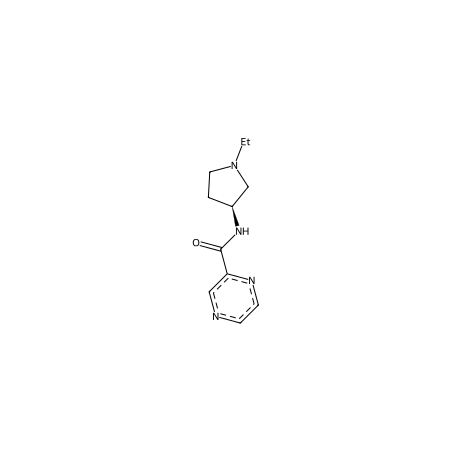 CCN1CC[C@H](NC(=O)c2cnccn2)C1